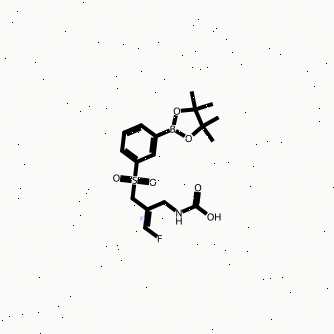 CC1(C)OB(c2cccc(S(=O)(=O)C/C(=C/F)CNC(=O)O)c2)OC1(C)C